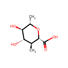 C[C@H]1[C@H](O)[C@@H](O)[C@H](C)O[C@@H]1C(=O)O